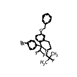 CC(C)(F)CN1CCc2cc(OCc3ccccc3)ccc2C1(c1ccc(Br)cc1)C(F)F